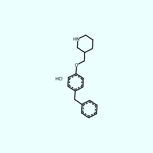 Cl.c1ccc(Cc2ccc(OCC3CCCNC3)cc2)cc1